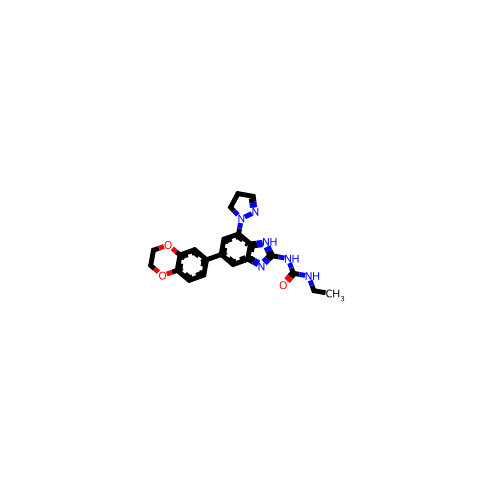 CCNC(=O)Nc1nc2cc(-c3ccc4c(c3)OCCO4)cc(N3CCC=N3)c2[nH]1